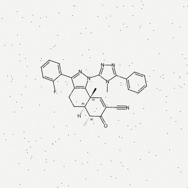 C[C@H]1C(=O)C(C#N)=C[C@@]2(C)c3c(c(-c4ccccc4F)nn3-c3nnc(-c4ccccc4)n3C)CC[C@H]12